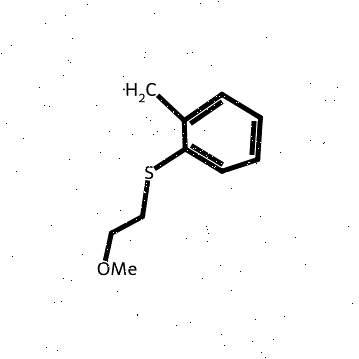 [CH2]c1ccccc1SCCOC